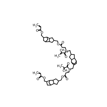 C=CC(=O)OCC1CC2CC1C1CC(COC(=O)CCN(CC3CC4C5CC(CN(CCC(=O)OCC6CC7C8CC(COC(=O)C=C)C(C8)C7C6)C(=O)C(=C)C)C(C5)C4C3)C(=O)C(=C)C)CC21